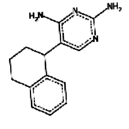 Nc1ncc(C2CCCc3ccccc32)c(N)n1